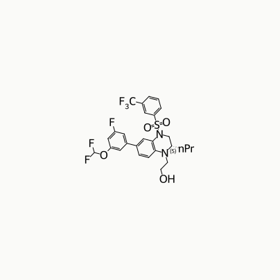 CCC[C@H]1CN(S(=O)(=O)c2cccc(C(F)(F)F)c2)c2cc(-c3cc(F)cc(OC(F)F)c3)ccc2N1CCO